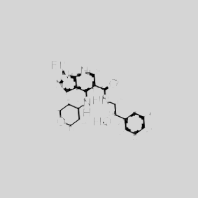 CCn1ncc2c(NC3CCOCC3)c(C(=O)NC[C@@H](O)c3ccccc3)cnc21